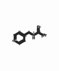 CC(C)C(=O)NCc1ccncc1